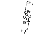 CCCCCCC#Cc1sc2cc3c(cc2c1Br)C(=O)c1cc2sc(C#CCCCCCC)c(Br)c2cc1C3=O